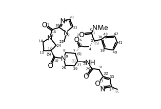 CNC(=O)[C@@H](CC(=O)[C@H]1CN(C(=O)[C@H]2CCN(C(=O)c3nccn3C)C2)CC[C@@H]1NC(=O)Cc1cc(C)no1)c1ccccc1